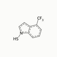 FC(F)(F)c1cccc2c1ccn2S